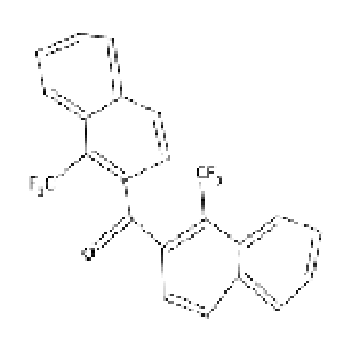 O=C(c1ccc2ccccc2c1C(F)(F)F)c1ccc2ccccc2c1C(F)(F)F